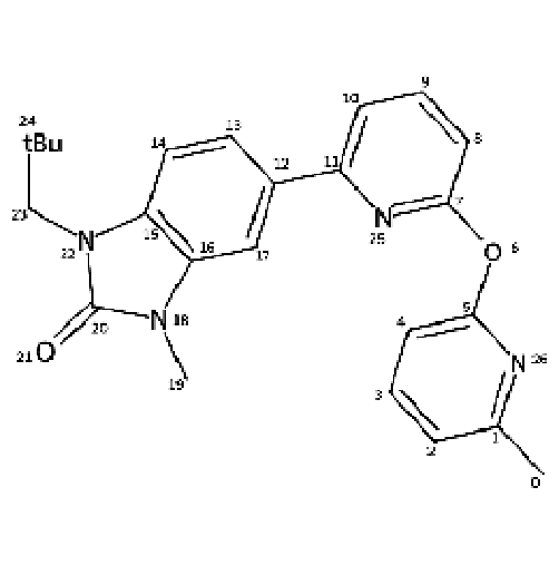 Cc1cccc(Oc2cccc(-c3ccc4c(c3)n(C)c(=O)n4CC(C)(C)C)n2)n1